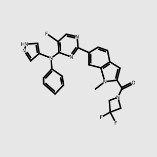 Cn1c(C(=O)N2CC(F)(F)C2)cc2ccc(-c3ncc(F)c(N(c4ccccc4)c4cn[nH]c4)n3)cc21